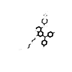 O=C(O)CCOCCOc1cc(C(c2ccc(Cl)cc2)c2ccc(Cl)cc2)cc2c(NC3CCN(S(=O)(=O)C(F)(F)F)CC3)ccnc12